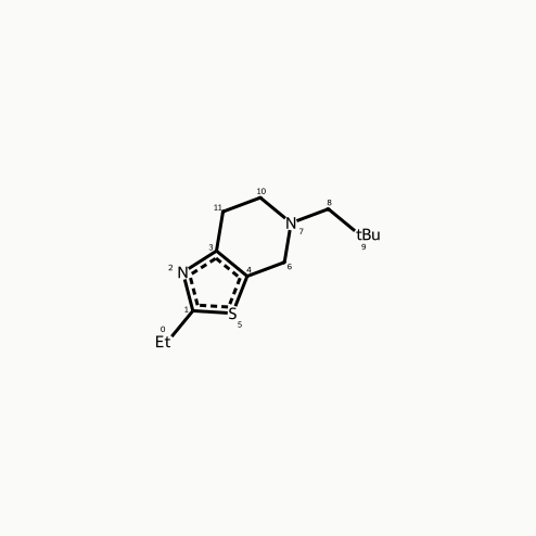 CCc1nc2c(s1)CN(CC(C)(C)C)CC2